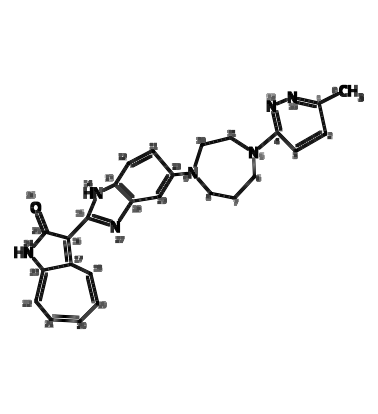 Cc1ccc(N2CCCN(c3ccc4[nH]c(-c5c6cccccc-6[nH]c5=O)nc4c3)CC2)nn1